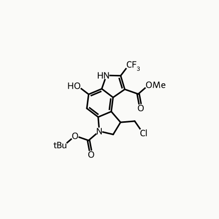 COC(=O)c1c(C(F)(F)F)[nH]c2c(O)cc3c(c12)C(CCl)CN3C(=O)OC(C)(C)C